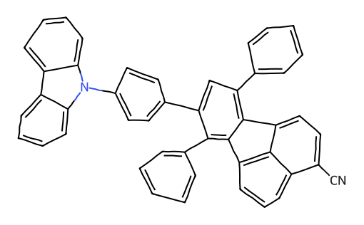 N#Cc1ccc2c3c(cccc13)-c1c(-c3ccccc3)c(-c3ccc(-n4c5ccccc5c5ccccc54)cc3)cc(-c3ccccc3)c1-2